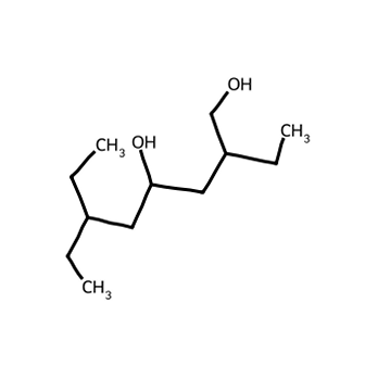 CCC(CC)CC(O)CC(CC)CO